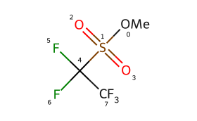 COS(=O)(=O)C(F)(F)C(F)(F)F